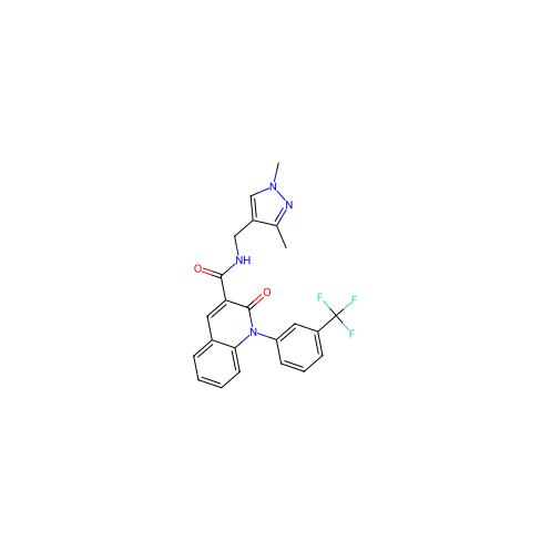 Cc1nn(C)cc1CNC(=O)c1cc2ccccc2n(-c2cccc(C(F)(F)F)c2)c1=O